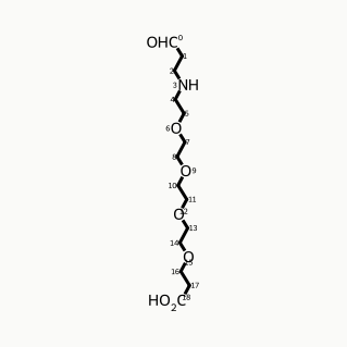 O=CCCNCCOCCOCCOCCOCCC(=O)O